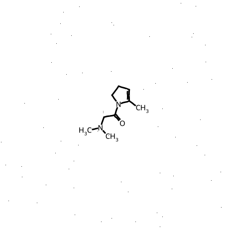 CC1=CCCN1C(=O)CN(C)C